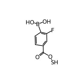 O=C(OS)c1ccc(B(O)O)c(F)c1